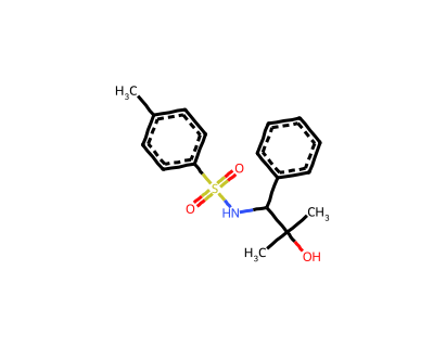 Cc1ccc(S(=O)(=O)NC(c2ccccc2)C(C)(C)O)cc1